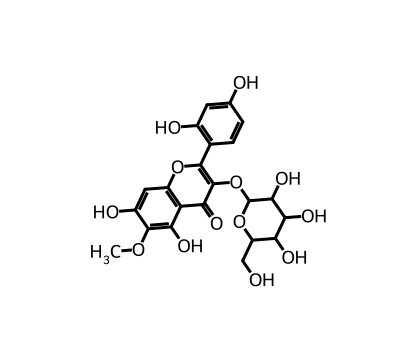 COc1c(O)cc2oc(-c3ccc(O)cc3O)c(OC3OC(CO)C(O)C(O)C3O)c(=O)c2c1O